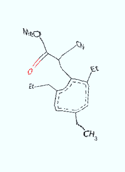 CCc1cc(C)cc(CC)c1C(C#N)C(=O)OC